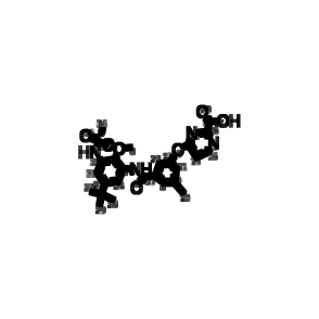 COc1c(NC(=O)c2cc(C)cc(Oc3ccnc(C(=O)O)n3)c2)cc(C(C)(C)C)cc1NS(C)(=O)=O